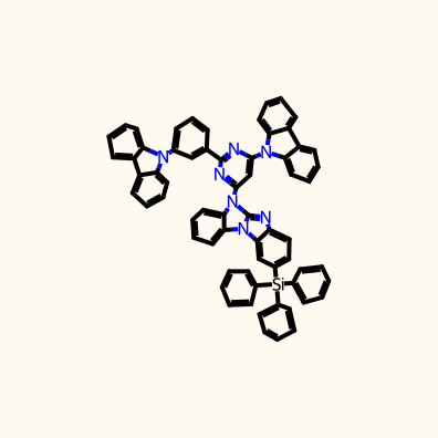 c1ccc([Si](c2ccccc2)(c2ccccc2)c2ccc3nc4n(-c5cc(-n6c7ccccc7c7ccccc76)nc(-c6cccc(-n7c8ccccc8c8ccccc87)c6)n5)c5ccccc5n4c3c2)cc1